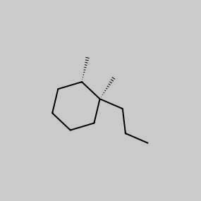 CCC[C@@]1(C)CCCC[C@@H]1C